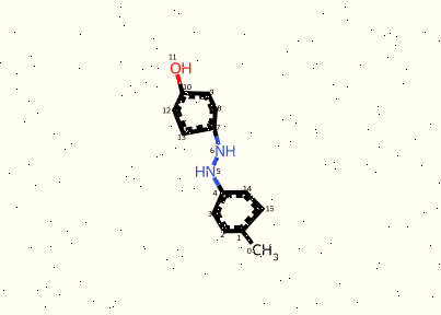 Cc1ccc(NNc2ccc(O)cc2)cc1